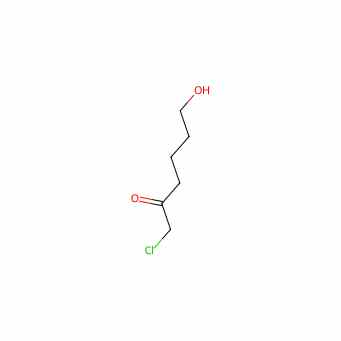 O=C(CCl)CCCCO